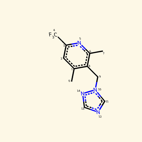 Cc1cc(C(F)(F)F)nc(C)c1Cn1cncn1